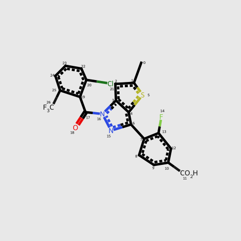 Cc1cc2c(s1)c(-c1ccc(C(=O)O)cc1F)nn2C(=O)c1c(Cl)cccc1C(F)(F)F